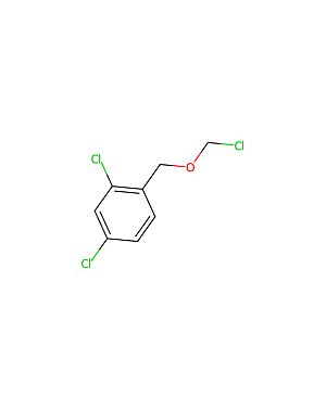 ClCOCc1ccc(Cl)cc1Cl